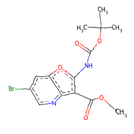 COC(=O)c1c(NC(=O)OC(C)(C)C)oc2cc(Br)cnc12